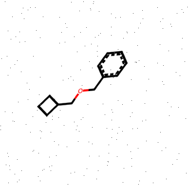 [CH]1CCC1COCc1ccccc1